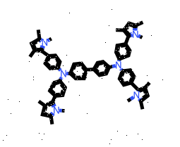 Cc1cc(C)n(C)c1-c1ccc(N(c2ccc(-c3ccc(N(c4ccc(-c5c(C)cc(C)n5C)cc4)c4ccc(-c5c(C)cc(C)n5C)cc4)cc3)cc2)c2ccc(-c3c(C)cc(C)n3C)cc2)cc1